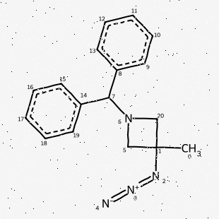 CC1(N=[N+]=[N-])CN(C(c2ccccc2)c2ccccc2)C1